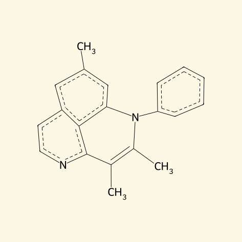 CC1=C(C)N(c2ccccc2)c2cc(C)cc3ccnc1c23